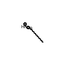 CCCCCCCCCCCCCCCCOc1ccc(Nc2ccccc2)cc1